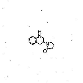 O=C1CCCN1C1CNc2ccccc2C1